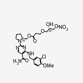 COc1ccc(CNc2nc(N3CCC[C@H]3COC(=O)CCOC[C@H](O)CO[N+](=O)[O-])ncc2C(N)=O)cc1Cl